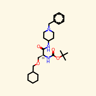 CC(C)(C)OC(=O)N[C@@H](COCC1CCCCC1)C(=O)NC1CCN(Cc2ccccc2)CC1